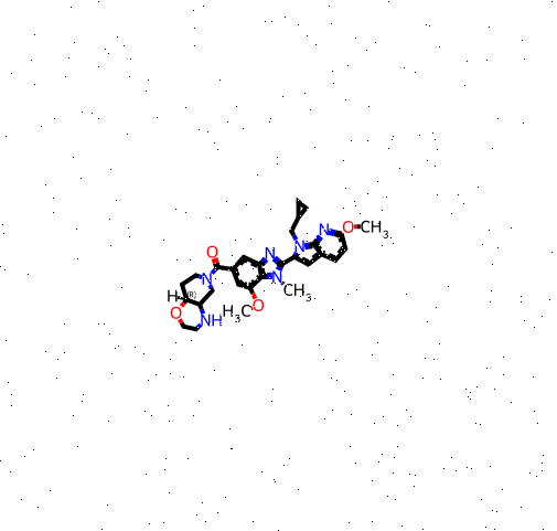 COc1ccc2cc(-c3nc4cc(C(=O)N5CC[C@H]6OCCNC6C5)cc(OC)c4n3C)n(CC3CC3)c2n1